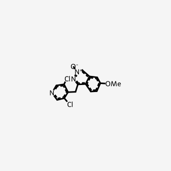 COc1ccc2c(Cc3c(Cl)cncc3Cl)n[n+]([O-])cc2c1